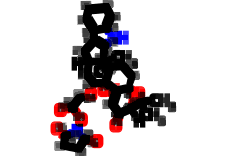 CC1(C)O[C@@]23CCC4(C)[C@@]5(C)c6[nH]c7ccccc7c6C[C@@H]5C[C@H](OCC(=O)ON5C(=O)CCC5=O)[C@@]4(O)C2=CC(=O)[C@@H]1O3